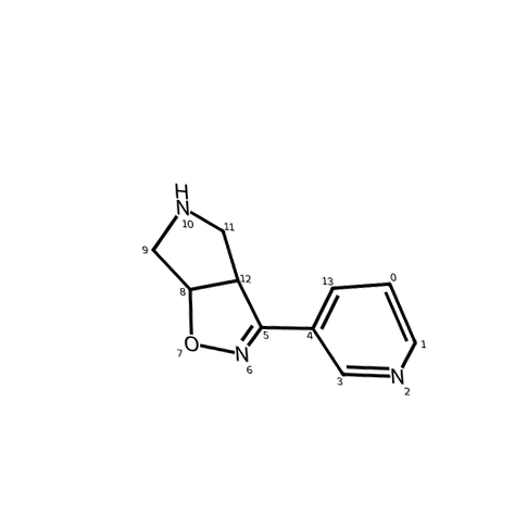 c1cncc(C2=NOC3CNCC23)c1